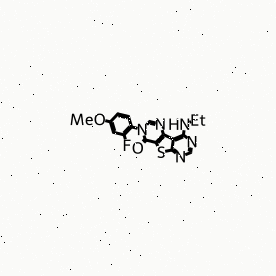 CCNc1ncnc2sc3c(=O)n(-c4ccc(OC)cc4F)cnc3c12